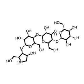 OC[C@@H]1NC[C@H](O)[C@@H]1O[C@H]1O[C@H](CO)[C@H](O[C@@H]2O[C@H](CO)[C@@H](O[C@@H]3O[C@H](CO)[C@@H](O)[C@H](O)[C@H]3O)[C@H](O)[C@H]2O)[C@H](O)[C@H]1O